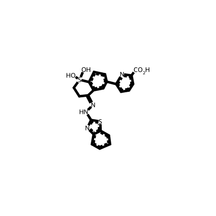 O=C(O)c1cccc(-c2ccc3c(c2)C(=NNc2nc4ccccc4s2)CCS3(O)O)n1